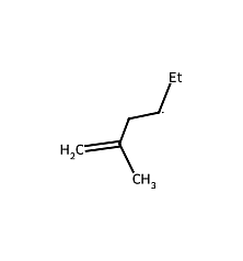 C=C(C)C[CH]CC